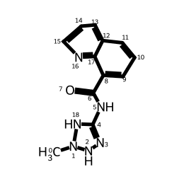 CN1NN=C(NC(=O)c2cccc3cccnc23)N1